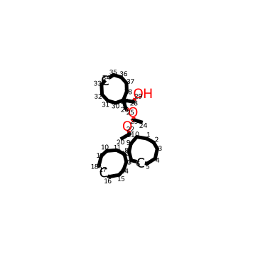 C1CCCCCCCCC1.C1CCCCCCCCC1.CCOC(C)OCC1(CO)CCCCCCCCC1